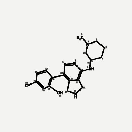 CN1CCC[C@@H](Nc2nnc(-c3ccc(Cl)cc3O)c3c2CNC3)C1